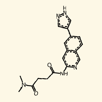 CN(C)C(=O)CCC(=O)Nc1cc2cc(-c3cn[nH]c3)ccc2cn1